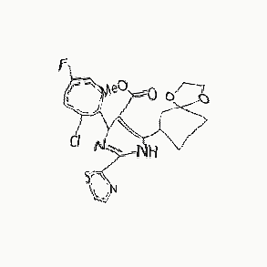 COC(=O)C1=C(C2CCCC3(C2)OCCO3)NC(c2nccs2)=NC1c1ccc(F)cc1Cl